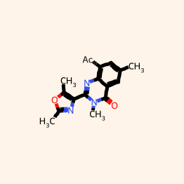 CC(=O)c1cc(C)cc2c(=O)n(C)c(-c3nc(C)oc3C)nc12